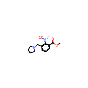 COC(=O)c1cccc(CN2CCCC2)c1[N+](=O)[O-]